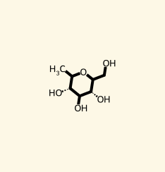 CC1OC(CO)[C@H](O)C(O)[C@@H]1O